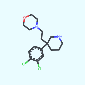 Clc1ccc(C2(CCN3CCOCC3)CCCNC2)cc1Cl